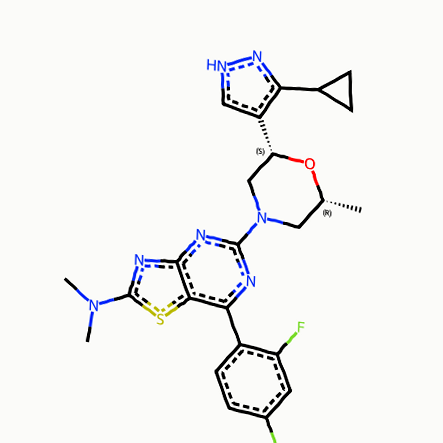 C[C@@H]1CN(c2nc(-c3ccc(F)cc3F)c3sc(N(C)C)nc3n2)C[C@H](c2c[nH]nc2C2CC2)O1